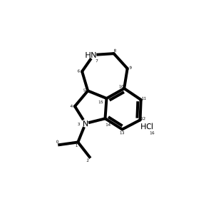 CC(C)N1CC2CNCCc3cccc1c32.Cl